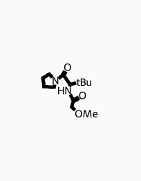 COCC(=O)NC(C(=O)N1CCCC1)C(C)(C)C